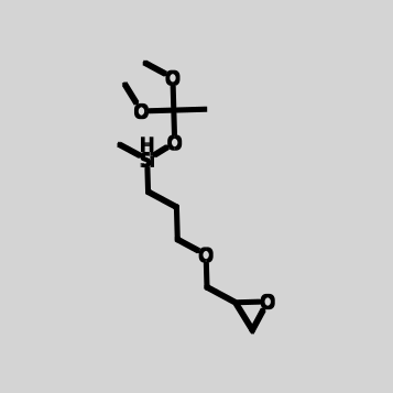 COC(C)(OC)O[SiH](C)CCCOCC1CO1